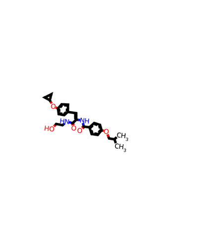 CC(C)COc1ccc(C(=O)N/C(=C/c2ccc(OC3CC3)cc2)C(=O)NCCO)cc1